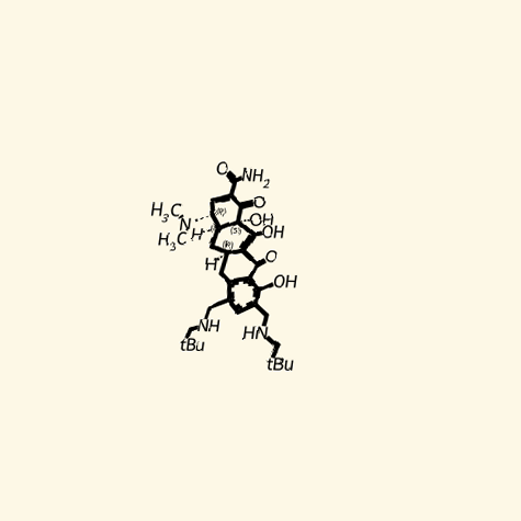 CN(C)[C@@H]1C=C(C(N)=O)C(=O)[C@@]2(O)C(O)=C3C(=O)c4c(O)c(CNCC(C)(C)C)cc(CNCC(C)(C)C)c4C[C@H]3C[C@@H]12